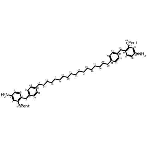 CCCCCc1cc(N)ccc1Cc1ccc(CCCCCCCCCCCCCCCCCCc2ccc(Cc3ccc(N)cc3CCCCC)cc2)cc1